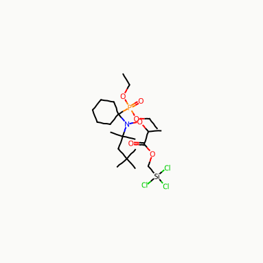 CCOP(=O)(OCC)C1(N(OC(C)C(=O)OC[Si](Cl)(Cl)Cl)C(C)(C)CC(C)(C)C)CCCCC1